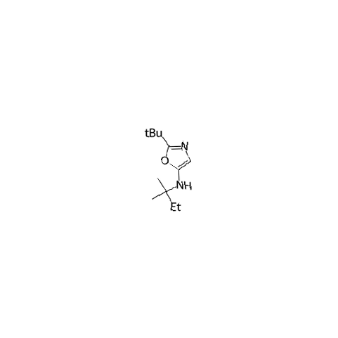 CCC(C)(C)Nc1cnc(C(C)(C)C)o1